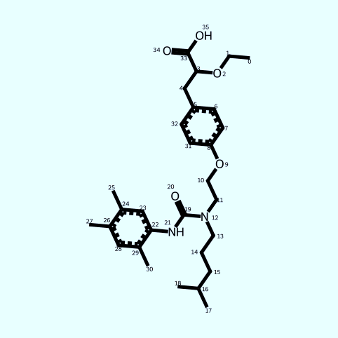 CCOC(Cc1ccc(OCCN(CCCC(C)C)C(=O)Nc2cc(C)c(C)cc2C)cc1)C(=O)O